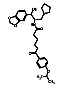 CC(C)Oc1ccc(C(=O)CCCCC(=O)N[C@H](CN2CCCC2)[C@H](O)c2ccc3c(c2)OCO3)cc1